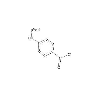 CCCCCNc1ccc(C(=O)Cl)cc1